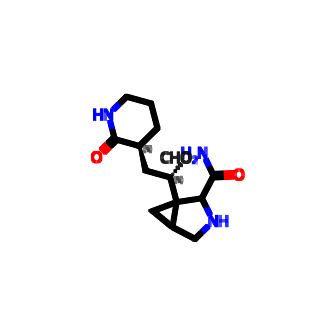 NC(=O)C1NCC2CC21[C@@H](C=O)C[C@@H]1CCCNC1=O